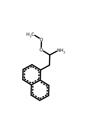 COOC(N)Cc1cccc2ccccc12